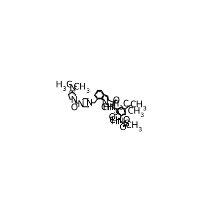 COc1c(NC(=O)c2cc3cccc(CN4CCN(C(=O)N5CC[C@@H](N(C)C)C5)CC4)c3n2C)cc(C(C)(C)C)cc1NS(C)(=O)=O